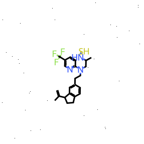 C=C(C)C1CCc2ccc(CCN(CC(C)NS)c3ccc(C(F)(F)F)cn3)cc21